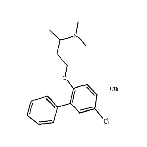 Br.CC(CCOc1ccc(Cl)cc1-c1ccccc1)N(C)C